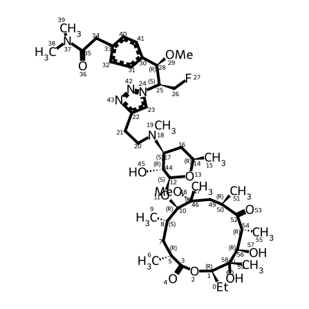 CC[C@H]1OC(=O)[C@H](C)C[C@H](C)[C@@H](O[C@@H]2O[C@H](C)C[C@H](N(C)CCc3cn([C@H](CF)[C@H](OC)c4ccc(CC(=O)N(C)C)cc4)nn3)[C@H]2O)[C@](C)(OC)C[C@@H](C)C(=O)[C@H](C)[C@@H](O)[C@]1(C)O